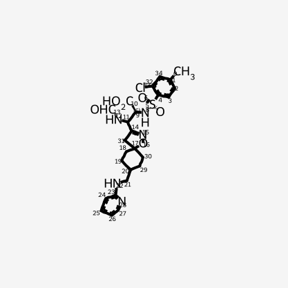 Cc1ccc(S(=O)(=O)N[C@H](C(=O)O)C(NC=O)C2=NOC3(CCC(CNc4ccccn4)CC3)C2)c(Cl)c1